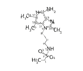 CCS(=O)(=O)NCCCn1c(C)nc2c(N)nc(C)c(C)c21